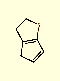 C1=CC2=C(C1)CCS2